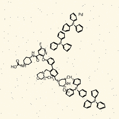 C[C@@H]1CN(Cc2ccc(-c3cccc(Oc4ncc(F)cc4C(=O)NC4CCC(NC(=O)O)CC4)c3)c(CN3CCOC[C@@H]3C)c2)C[C@H](C)N1.[Pd].c1ccc(P(c2ccccc2)c2ccccc2)cc1.c1ccc(P(c2ccccc2)c2ccccc2)cc1.c1ccc(P(c2ccccc2)c2ccccc2)cc1.c1ccc(P(c2ccccc2)c2ccccc2)cc1